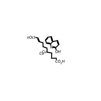 CCCCCCCCC=CCCCCCCCC(=O)O.Oc1ccc2ccccc2n1.[Cu].[Cu]